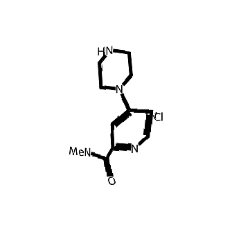 CNC(=O)c1cc(N2CCNCC2)ccn1.Cl